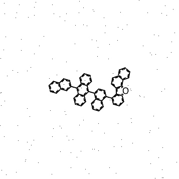 c1ccc2cc(-c3c4ccccc4c(-c4ccc(-c5cccc6oc7c8ccccc8ccc7c56)c5ccccc45)c4ccccc34)ccc2c1